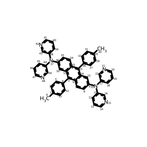 Cc1ccc(-c2c3ccc(N(c4cccnc4)c4cccnc4)cc3c(-c3ccc(C)cc3)c3ccc(N(c4cccnc4)c4cccnc4)cc23)cc1